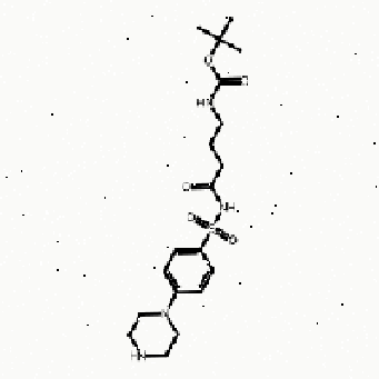 CC(C)(C)OC(=O)NCCCC(=O)NS(=O)(=O)c1ccc(N2CCNCC2)cc1